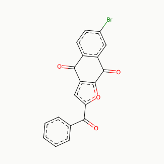 O=C(c1ccccc1)c1cc2c(o1)C(=O)c1cc(Br)ccc1C2=O